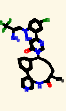 CC1CCCC(n2cnc(-c3cc(Cl)ccc3N(N)/C=C(\N)C(F)(F)F)cc2=O)c2cccc(c2)-c2ccncc2NC1=O